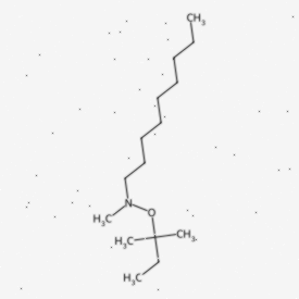 CCCCCCCCCN(C)OC(C)(C)CC